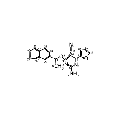 CC(Oc1nc(N)nc(-c2ccco2)c1C#N)c1ccc2ccccc2c1